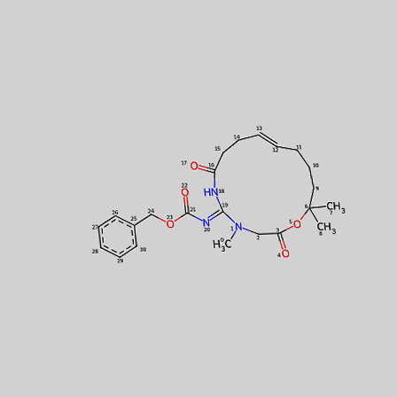 CN1CC(=O)OC(C)(C)CCC/C=C/CCC(=O)N/C1=N\C(=O)OCc1ccccc1